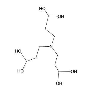 OC(O)CCN(CCC(O)O)CCC(O)O